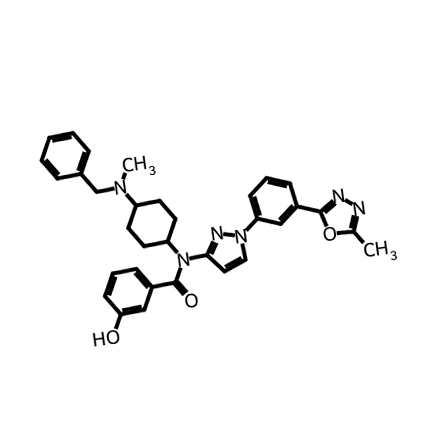 Cc1nnc(-c2cccc(-n3ccc(N(C(=O)c4cccc(O)c4)C4CCC(N(C)Cc5ccccc5)CC4)n3)c2)o1